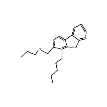 CCCOCc1ccc2c(c1COCCC)Cc1ccccc1-2